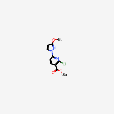 CCOc1ccn(-c2ccc(C(=O)OC(C)(C)C)c(Cl)n2)n1